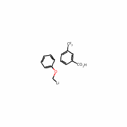 O=C(O)c1cccc(C(F)(F)F)c1.[Li][CH2]Oc1ccccc1